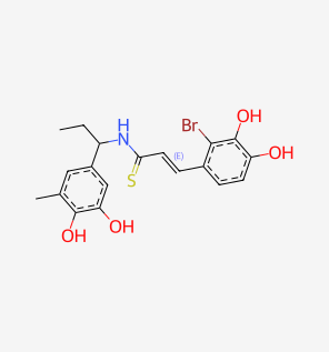 CCC(NC(=S)/C=C/c1ccc(O)c(O)c1Br)c1cc(C)c(O)c(O)c1